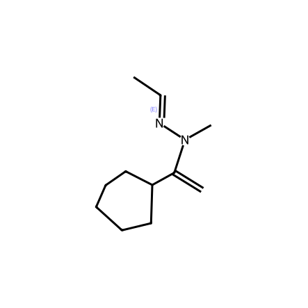 C=C(C1CCCCC1)N(C)/N=C/C